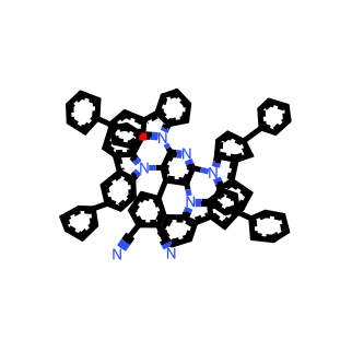 N#Cc1ccc(-c2c(-n3c4ccccc4c4cc(-c5ccccc5)ccc43)c(-n3c4ccccc4c4cc(-c5ccccc5)ccc43)nc(-n3c4ccccc4c4cc(-c5ccccc5)ccc43)c2-n2c3ccccc3c3cc(-c4ccccc4)ccc32)cc1C#N